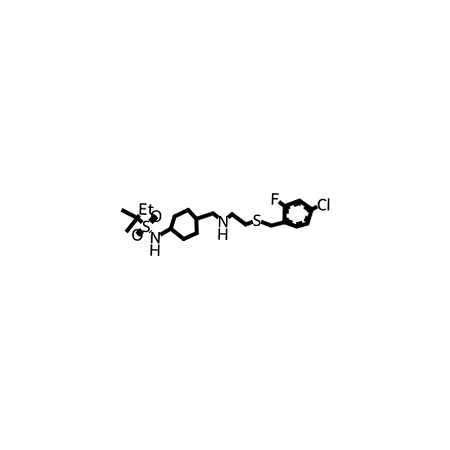 CCC(C)(C)S(=O)(=O)NC1CCC(CNCCSCc2ccc(Cl)cc2F)CC1